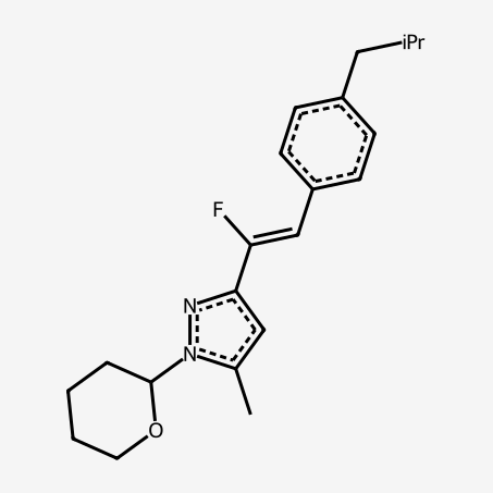 Cc1cc(C(F)=Cc2ccc(CC(C)C)cc2)nn1C1CCCCO1